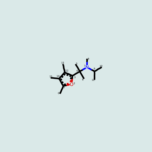 Cc1oc(C(C)(C)N(C)C(C)C)c(C)c1C